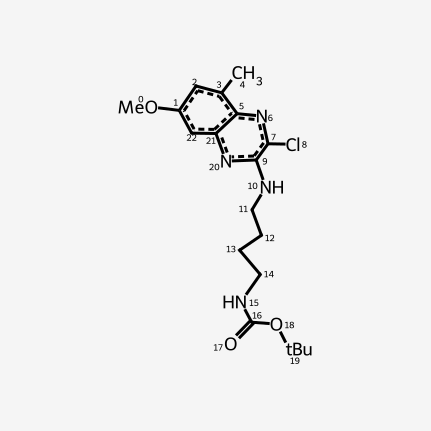 COc1cc(C)c2nc(Cl)c(NCCCCNC(=O)OC(C)(C)C)nc2c1